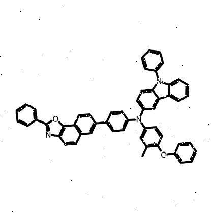 Cc1cc(N(c2ccc(-c3ccc4c(ccc5nc(-c6ccccc6)oc54)c3)cc2)c2ccc3c(c2)c2ccccc2n3-c2ccccc2)ccc1Oc1ccccc1